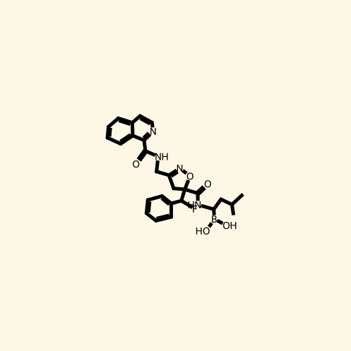 CC(C)CC(NC(=O)C1(C(F)c2ccccc2)CC(CNC(=O)c2nccc3ccccc23)=NO1)B(O)O